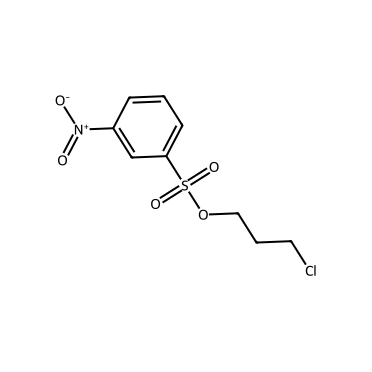 O=[N+]([O-])c1cccc(S(=O)(=O)OCCCCl)c1